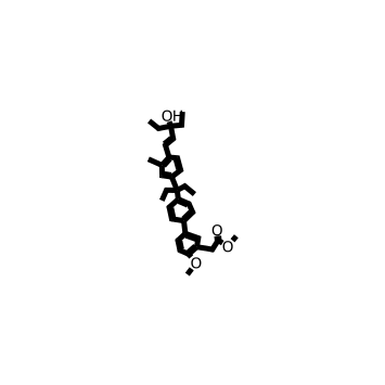 CCC(O)(C=Cc1ccc(C(CC)(CC)c2ccc(-c3ccc(OC)c(CC(=O)OC)c3)cc2)cc1C)CC